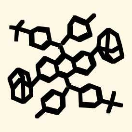 Cc1ccc(N(c2ccc(C(C)(C)C)cc2)c2c3ccc(C45CC6CC(CC(C6)C4)C5)cc3c(N(c3ccc(C)cc3)c3ccc(C(C)(C)C)cc3)c3ccc(C45CC6CC(CC(C6)C4)C5)cc23)cc1